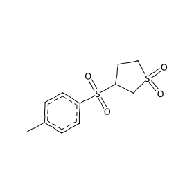 Cc1ccc(S(=O)(=O)C2CCS(=O)(=O)C2)cc1